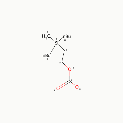 CCCC[Si](C)(CCCC)CCOC([O])=O